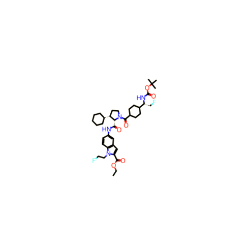 CCOC(=O)c1cc2cc(NC(=O)[C@@H]3[C@H](C4CCCCC4)CCN3C(=O)C3CCC([C@@H](CF)NC(=O)OC(C)(C)C)CC3)ccc2n1CCF